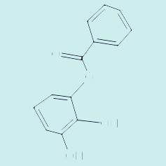 O=C(Oc1cccc(O)c1O)c1ccccc1